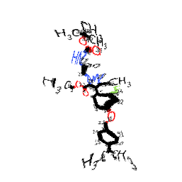 CCOC(=O)c1c(-c2ccc(OCc3ccc(C(C)C)cc3)cc2F)c(C)nn1CCNC(=O)OC(C)(C)C